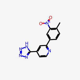 Cc1ccc(-c2cc(-c3nnn[nH]3)ccn2)cc1[N+](=O)[O-]